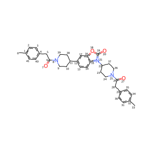 Cc1ccc(CC(=O)N2CCC(c3ccc4c(c3)oc(=O)n4C3CCN(C(=O)Cc4ccc(C)cc4)CC3)CC2)cc1